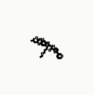 CCOCCCn1c(NC(=O)c2ccc(-c3cccnc3)s2)nc2cc3[nH]c(=O)c(CC(C)C)nc3cc21